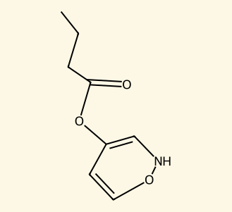 CCCC(=O)OC1=CNOC=C1